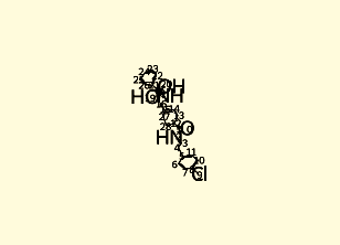 O=C(NCCc1ccc(Cl)cc1)C1CCC(CNC(O)(O)c2ccccc2)CC1